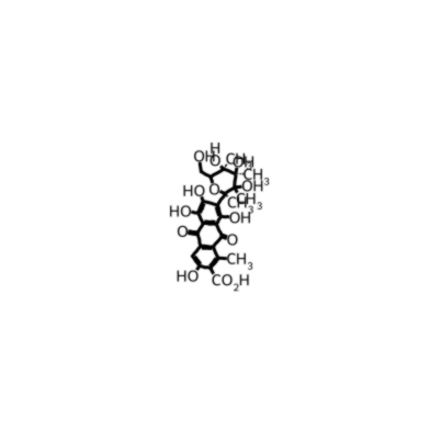 Cc1c(C(=O)O)c(O)cc2c1C(=O)c1c(O)c([C@@]3(C)OC(CO)[C@@](C)(O)[C@@](C)(O)C3(C)O)c(O)c(O)c1C2=O